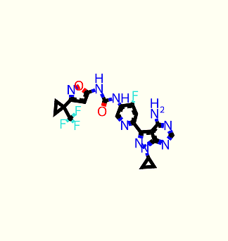 Nc1ncnc2c1c(-c1cc(F)c(NC(=O)Nc3cc(C4(C(F)(F)F)CC4)no3)cn1)nn2C1CC1